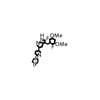 COc1cc(OC)c(F)c(Cc2c[nH]c3ncc(-c4ccc(N5CCN(C)CC5)nc4)cc23)c1F